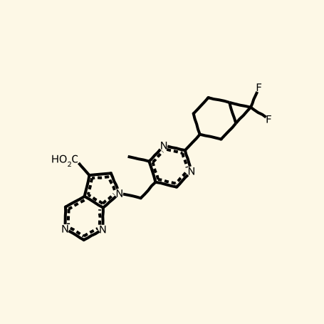 Cc1nc(C2CCC3C(C2)C3(F)F)ncc1Cn1cc(C(=O)O)c2cncnc21